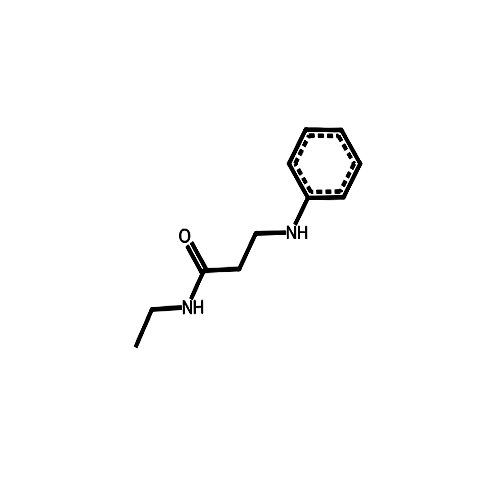 CCNC(=O)CCNc1ccccc1